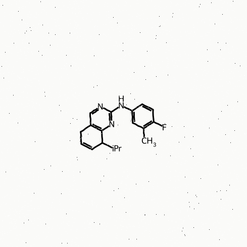 Cc1cc(Nc2ncc3c(n2)C(C(C)C)C=CC3)ccc1F